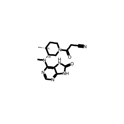 C[C@@H]1CCN(C(=O)CC#N)C[C@@H]1N(C)c1ncnc2[nH]c(=O)[nH]c12